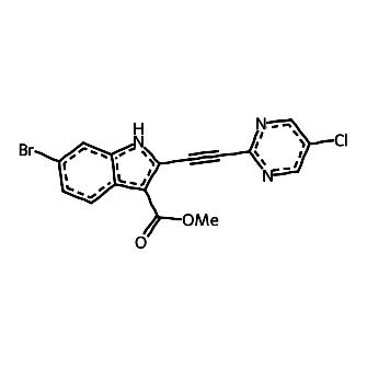 COC(=O)c1c(C#Cc2ncc(Cl)cn2)[nH]c2cc(Br)ccc12